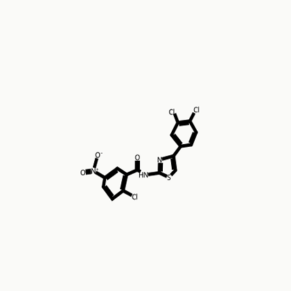 O=C(Nc1nc(-c2ccc(Cl)c(Cl)c2)cs1)c1cc([N+](=O)[O-])ccc1Cl